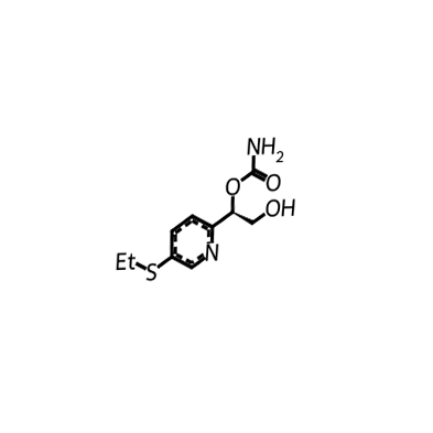 CCSc1ccc([C@H](CO)OC(N)=O)nc1